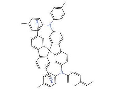 C=C(/C=C\C(C)=C/C)N(c1ccc(C)cc1)c1ccc2c(c1)C1(c3cc(C#N)ccc3-c3ccc(C#N)cc31)c1cc(N(c3ccc(C)cc3)c3ccc(C)cc3)ccc1-2